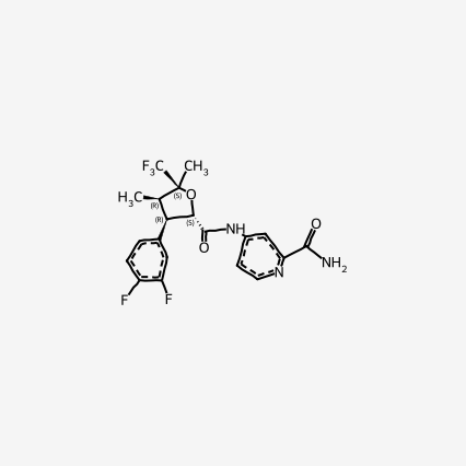 C[C@@H]1[C@H](c2ccc(F)c(F)c2)[C@@H](C(=O)Nc2ccnc(C(N)=O)c2)O[C@]1(C)C(F)(F)F